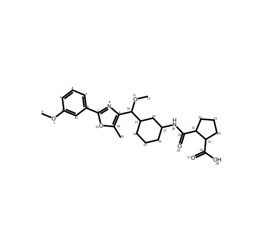 COc1cccc(-c2nc(C(OC)C3CCCC(NC(=O)C4CCCC4C(=O)O)C3)c(C)o2)c1